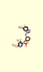 CCOc1cc(C)c(N2C[C@@]3(CCC[C@H](Cn4cnc5cc(F)c(C#N)cc54)C3)OC2=O)cn1